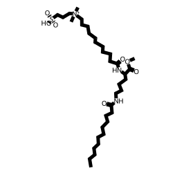 CCCCCCCCCCCC(=O)NCCCCC(NC(=O)CCCCCCCCCC[N+](C)(C)CCCS(=O)(=O)O)C(=O)OC